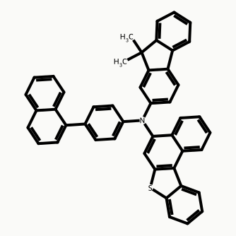 CC1(C)c2ccccc2-c2ccc(N(c3ccc(-c4cccc5ccccc45)cc3)c3cc4sc5ccccc5c4c4ccccc34)cc21